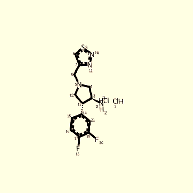 Cl.Cl.N[C@@H]1CN(Cc2csnn2)C[C@H]1c1ccc(F)c(F)c1